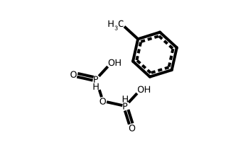 Cc1ccccc1.O=[PH](O)O[PH](=O)O